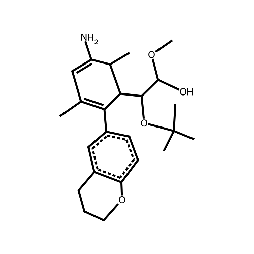 COC(O)C(OC(C)(C)C)C1C(c2ccc3c(c2)CCCO3)=C(C)C=C(N)C1C